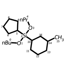 CCCCO[Si](OCCC)(C1CCCC1)C1CCCC(C)C1